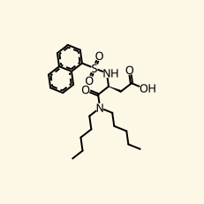 CCCCCN(CCCCC)C(=O)[C@H](CC(=O)O)NS(=O)(=O)c1cccc2ccccc12